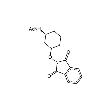 CC(=O)N[C@H]1CCC[C@@H](ON2C(=O)c3ccccc3C2=O)C1